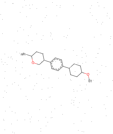 CCCC1CCC(c2ccc(C3CCC(OCC)CC3)cc2)CO1